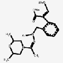 COC=C(C(=O)OC)c1ccccc1CN(N=C(C)N1CC(C)OC(C)C1)C(C)=O